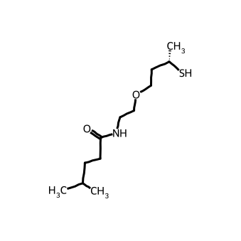 CC(C)CCC(=O)NCCOCC[C@H](C)S